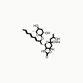 C/C=C/C=C/C=C/C(C[C@@H]1OC(CC(C)O)(OC)C[C@@H]2OC(=O)NC21)OC1O[C@H](C)C(O)C[C@@H]1O